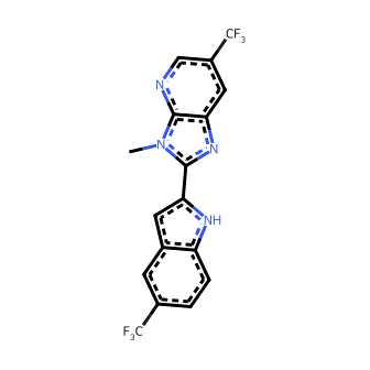 Cn1c(-c2cc3cc(C(F)(F)F)ccc3[nH]2)nc2cc(C(F)(F)F)cnc21